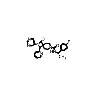 C[C@H](NC(=O)N1CCC2(CC1)C(=O)N(c1cncnc1)C2c1ccccn1)c1ccc(F)cc1